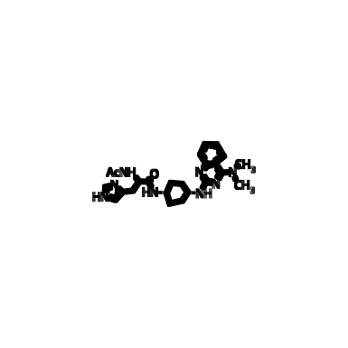 CC(=O)NC(Cc1c[nH]cn1)C(=O)N[C@H]1CC[C@@H](Nc2nc(N(C)C)c3ccccc3n2)CC1